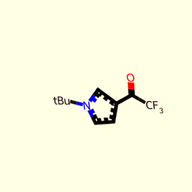 CC(C)(C)n1ccc(C(=O)C(F)(F)F)c1